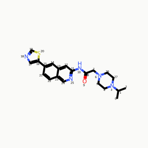 CC(C)N1CCN(CC(=O)Nc2cc3cc(-c4cncs4)ccc3cn2)CC1